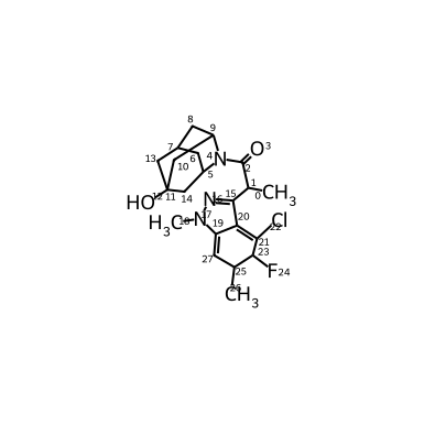 CC(C(=O)N1C2CC3CC1CC(O)(C3)C2)c1nn(C)c2c1=C(Cl)C(F)C(C)C=2